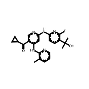 Cc1cccnc1Nc1cc(Nc2ccc(C(C)(C)O)c(F)n2)ncc1C(=O)C1CC1